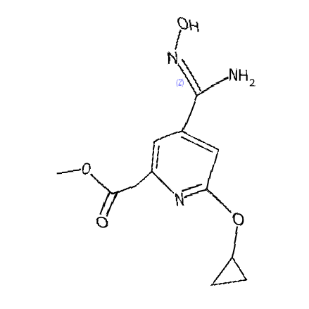 COC(=O)c1cc(/C(N)=N/O)cc(OC2CC2)n1